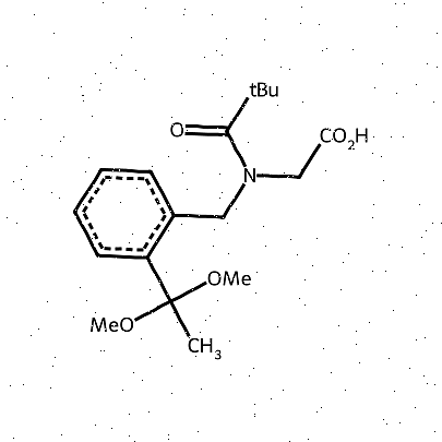 COC(C)(OC)c1ccccc1CN(CC(=O)O)C(=O)C(C)(C)C